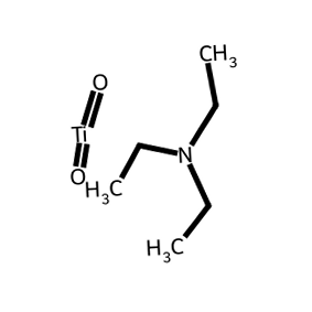 CCN(CC)CC.[O]=[Ti]=[O]